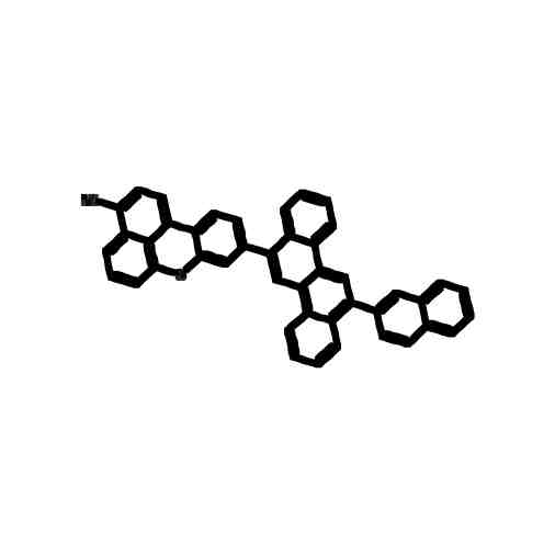 N#Cc1ccc2c3c(cccc13)Oc1cc(-c3cc4c5ccccc5c(-c5ccc6ccccc6c5)cc4c4ccccc34)ccc1-2